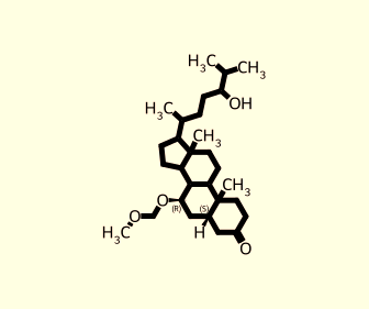 COCO[C@@H]1C[C@H]2CC(=O)CCC2(C)C2CCC3(C)C(C(C)CCC(O)C(C)C)CCC3C21